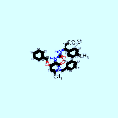 CCOC(=O)C[C@H](NC(=O)Nc1c(OCc2ccccc2)cc(C)n(Cc2ccccc2)c1=O)c1ccc(C)cc1